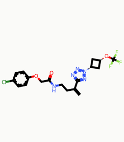 C=C(CCNC(=O)COc1ccc(Cl)cc1)c1nnn([C@H]2C[C@@H](OC(F)(F)F)C2)n1